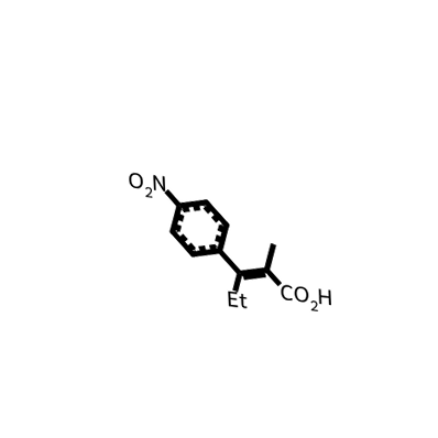 CCC(=C(C)C(=O)O)c1ccc([N+](=O)[O-])cc1